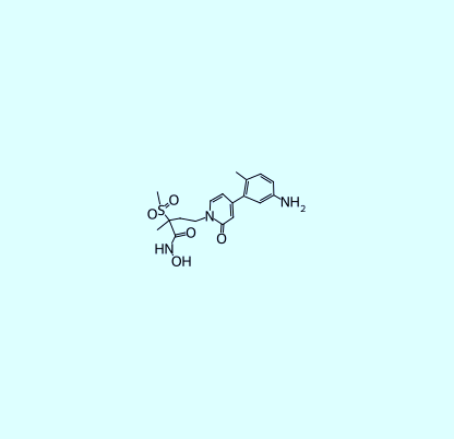 Cc1ccc(N)cc1-c1ccn(CCC(C)(C(=O)NO)S(C)(=O)=O)c(=O)c1